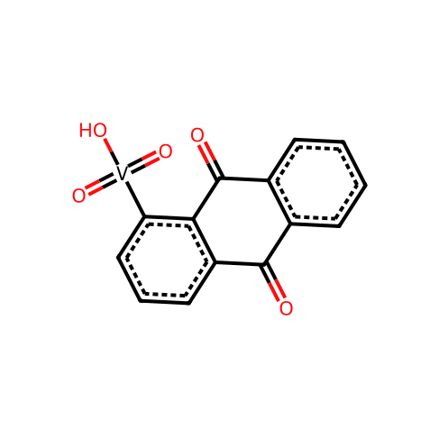 O=C1c2ccccc2C(=O)c2c1ccc[c]2[V](=[O])(=[O])[OH]